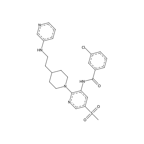 CS(=O)(=O)c1cnc(N2CCC(CCNc3cccnc3)CC2)c(NC(=O)c2cccc(Cl)c2)c1